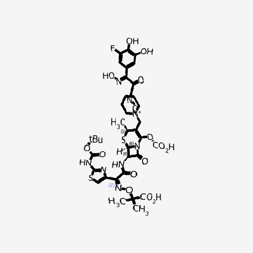 C[C@@H]1S[C@@H]2[C@H](NC(=O)/C(=N\OC(C)(C)C(=O)O)c3csc(NC(=O)OC(C)(C)C)n3)C(=O)N2C(OC(=O)O)=C1C[N+]12CCC(CC1)N(C(=O)C(=NO)c1cc(O)c(O)c(F)c1)CC2